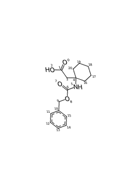 O=C(O)CC1(NC(=O)OCc2ccccc2)CCCCC1